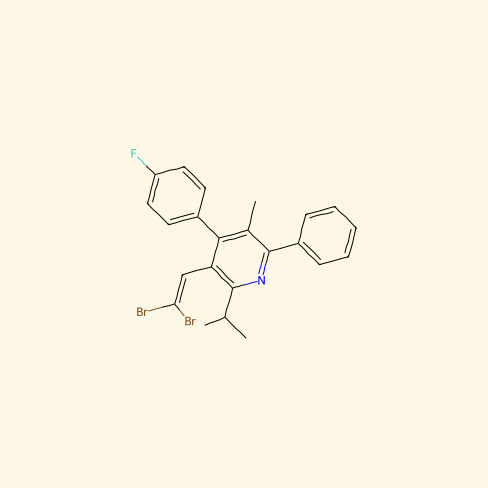 Cc1c(-c2ccccc2)nc(C(C)C)c(C=C(Br)Br)c1-c1ccc(F)cc1